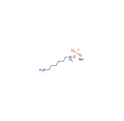 CS(=O)(=O)[O-].NCCCCCCN.[Na+]